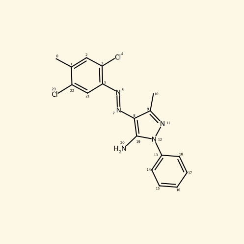 Cc1cc(Cl)c(/N=N/c2c(C)nn(-c3ccccc3)c2N)cc1Cl